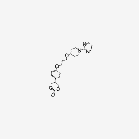 O=[S@]1OC[C@@H](c2ccc(OCCCOC3CCN(c4ncccn4)CC3)cc2)CO1